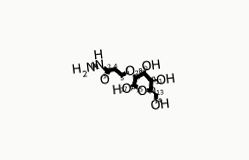 NNC(=O)CCO[C@H]1[C@@H](O)[C@H](O)[C@@H](CO)O[C@@H]1O